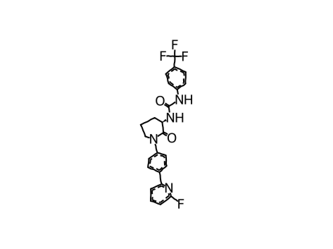 O=C(Nc1ccc(C(F)(F)F)cc1)N[C@@H]1CCCN(c2ccc(-c3cccc(F)n3)cc2)C1=O